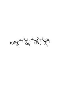 C=C(CC/C=C(\C)CCC=C(C)C)CCCC(C)=O